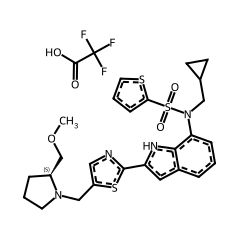 COC[C@@H]1CCCN1Cc1cnc(-c2cc3cccc(N(CC4CC4)S(=O)(=O)c4cccs4)c3[nH]2)s1.O=C(O)C(F)(F)F